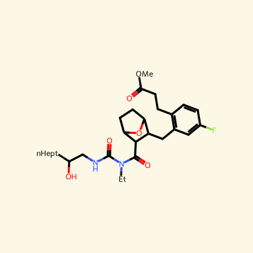 CCCCCCCC(O)CNC(=O)N(CC)C(=O)C1C2CCC(O2)C1Cc1cc(F)ccc1CCC(=O)OC